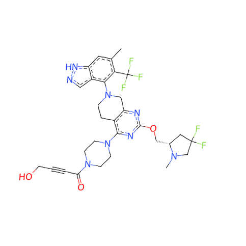 Cc1cc2[nH]ncc2c(N2CCc3c(nc(OC[C@@H]4CC(F)(F)CN4C)nc3N3CCN(C(=O)C#CCO)CC3)C2)c1C(F)(F)F